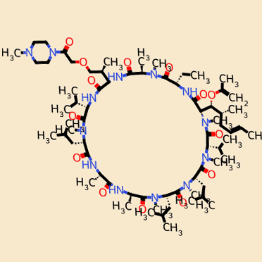 C=C(C)O[C@H]([C@H](C)C/C=C/C)[C@H]1C(=O)N[C@@H](CC)C(=O)N(C)[C@H](C)C(=O)N[C@@H]([C@H](C)COCC(=O)N2CCN(C)CC2)C(=O)N[C@@H](C(C)C)C(=O)N(C)[C@@H](CC(C)C)C(=O)N[C@@H](C)C(=O)N[C@H](C)C(=O)N(C)[C@@H](CC(C)C)C(=O)N(C)[C@@H](CC(C)C)C(=O)N(C)[C@@H](C(C)C)C(=O)N1C